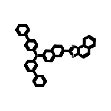 c1ccc(-c2ccc(N(c3cccc(-c4ccccc4)c3)c3ccc4cc(-c5nc6c(ccc7ccccc76)o5)ccc4c3)cc2)cc1